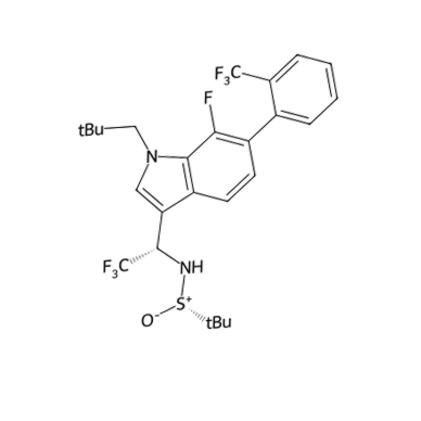 CC(C)(C)Cn1cc([C@H](N[S@@+]([O-])C(C)(C)C)C(F)(F)F)c2ccc(-c3ccccc3C(F)(F)F)c(F)c21